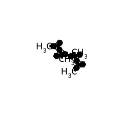 Cc1ccc(N(c2ccccc2)c2ccc(-n3c(-c4ccccc4)c(C)c4cc(-c5ccc6c(c5)c(C)c(-c5ccccc5)n6-c5ccc(N(c6ccccc6)c6ccc(C)cc6)cc5)ccc43)cc2)cc1